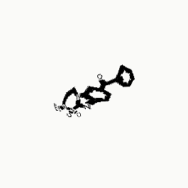 CCN1CCn2c(nc3ccc(C(=O)c4ccccc4)cc32)S1(=O)=O